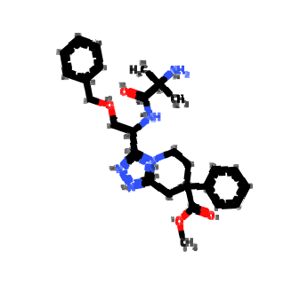 COC(=O)C1(c2ccccc2)CCn2c(nnc2C(COCc2ccccc2)NC(=O)C(C)(C)N)C1